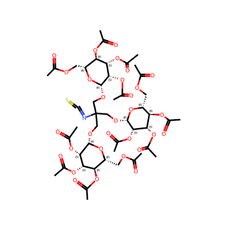 CC(=O)OC[C@H]1O[C@@H](OCC(CO[C@@H]2O[C@H](COC(C)=O)[C@@H](OC(C)=O)[C@H](OC(C)=O)[C@@H]2OC(C)=O)(CO[C@@H]2O[C@H](COC(C)=O)[C@@H](OC(C)=O)[C@H](OC(C)=O)[C@@H]2OC(C)=O)N=C=S)[C@@H](OC(C)=O)[C@@H](OC(C)=O)[C@@H]1OC(C)=O